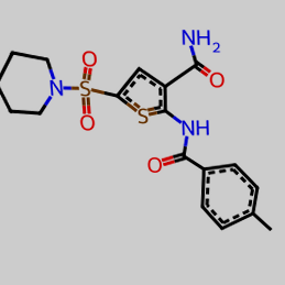 Cc1ccc(C(=O)Nc2sc(S(=O)(=O)N3CCCCC3)cc2C(N)=O)cc1